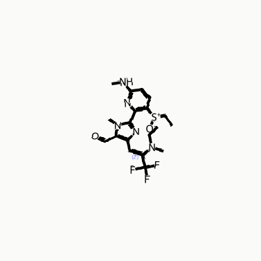 CCN(C)/C(=C\c1nc(-c2nc(NC)ccc2[S+]([O-])CC)n(C)c1C=O)C(F)(F)F